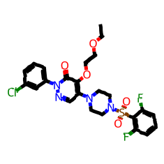 CCOCCOc1c(N2CCN(S(=O)(=O)c3c(F)cccc3F)CC2)cnn(-c2cccc(Cl)c2)c1=O